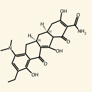 CCc1cc(N(C)C)c2c(c1O)C(=O)C1=C(O)C3C(=O)C(C(N)=O)=C(O)C[C@@H]3C[C@@H]1C2